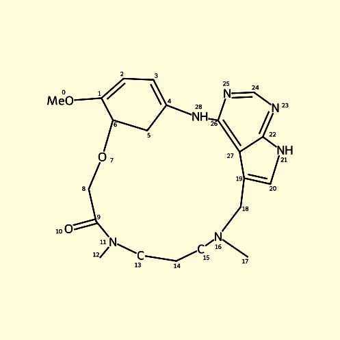 COC1=CC=C2CC1OCC(=O)N(C)CCCN(C)Cc1c[nH]c3ncnc(c13)N2